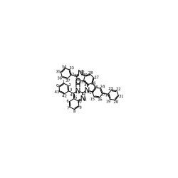 c1ccc(C2=c3ccccc3=NC(n3c4ccc(-c5ccccc5)cc4c4ccc5nc(-c6ccccc6)oc5c43)N2)cc1